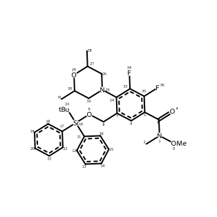 CON(C)C(=O)c1cc(CO[Si](c2ccccc2)(c2ccccc2)C(C)(C)C)c(N2CC(C)OC(C)C2)c(F)c1F